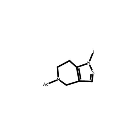 CC(=O)N1CCc2c(cnn2I)C1